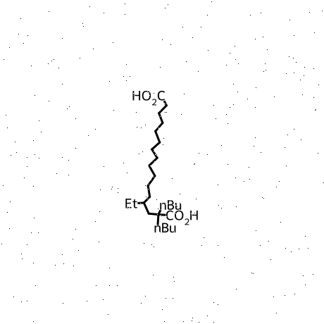 CCCCC(CCCC)(CC(CC)CCCCCCCCCCCC(=O)O)C(=O)O